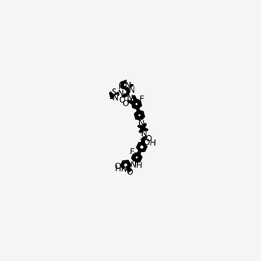 O=C1CC[C@@H](Nc2ccc(C3CCC(O)(CC(=O)N4CC5(C4)CN(c4ccc(-c6cc(F)c7c(c6)C(=O)N(C(C(=O)Nc6nccs6)c6ncn8c6CCC8)C7)cc4)C5)CC3)c(F)c2)C(=O)N1